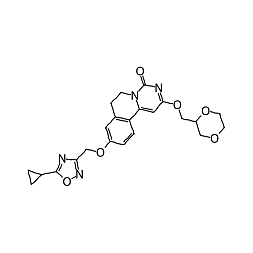 O=c1nc(OCC2COCCO2)cc2n1CCc1cc(OCc3noc(C4CC4)n3)ccc1-2